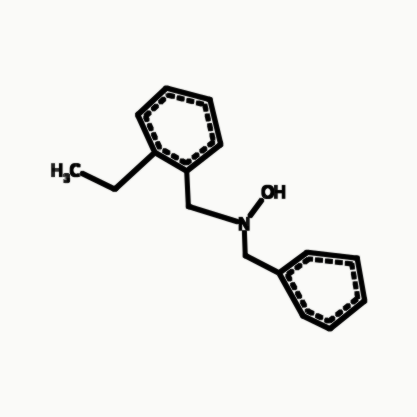 CCc1ccccc1CN(O)Cc1ccccc1